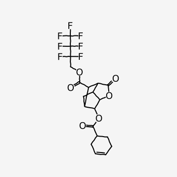 O=C(OC1C2CC3C1OC(=O)C3C2C(=O)OCC(F)(F)C(F)(F)C(F)(F)F)C1CC=CCC1